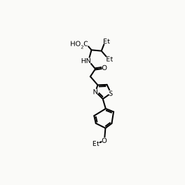 CCOc1ccc(-c2nc(CC(=O)NC(C(=O)O)C(CC)CC)cs2)cc1